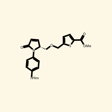 CCCCCCc1ccc(N2C(=O)C=C[C@@H]2COCc2ccc(C(=O)OC)s2)cc1